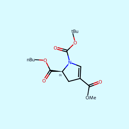 CCCCOC(=O)[C@@H]1CC(C(=O)OC)=CN1C(=O)OC(C)(C)C